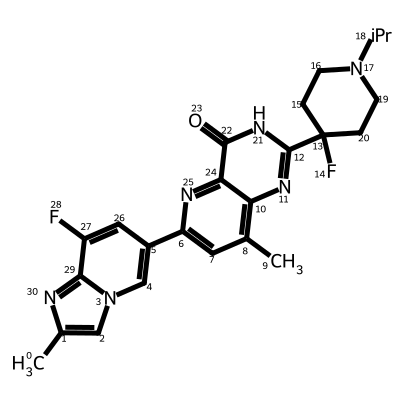 Cc1cn2cc(-c3cc(C)c4nc(C5(F)CCN(C(C)C)CC5)[nH]c(=O)c4n3)cc(F)c2n1